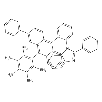 Bc1c(B)c(B)c(-c2c3ccccc3c(-c3ccccc3-n3c(-c4ccccc4)nc4ccccc43)c3ccc(-c4ccccc4)cc23)c(B)c1B